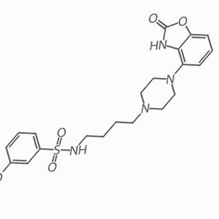 O=c1[nH]c2c(N3CCN(CCCCNS(=O)(=O)c4cccc(O)c4)CC3)cccc2o1